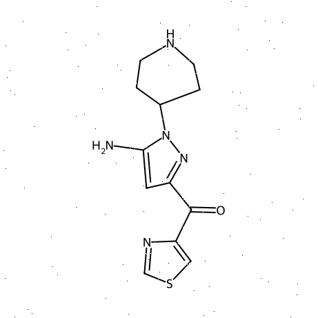 Nc1cc(C(=O)c2cscn2)nn1C1CCNCC1